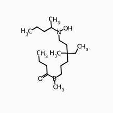 CCCC(=O)B(C)CCCC(C)(CC)CCN(O)C(C)CCC